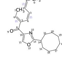 C\C=C/C=C\C(=C/C)C(=O)c1coc(C2CCCCCCC2)n1